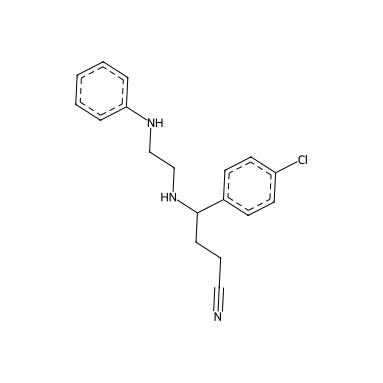 N#CCCC(NCCNc1ccccc1)c1ccc(Cl)cc1